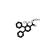 CCCCCCCCOC(=O)c1ccc(-c2ccccc2)c(-c2ccccc2)c1C(=O)O